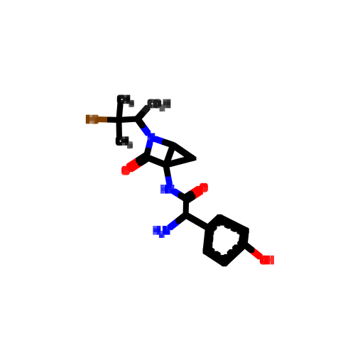 CC(C)(S)C(C(=O)O)N1C(=O)C2(NC(=O)C(N)c3ccc(O)cc3)CC12